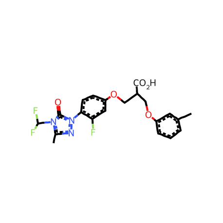 Cc1cccc(OCC(COc2ccc(-n3nc(C)n(C(F)F)c3=O)c(F)c2)C(=O)O)c1